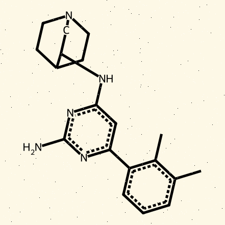 Cc1cccc(-c2cc(NC3CN4CCC3CC4)nc(N)n2)c1C